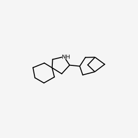 C1CCC2(CC1)CNC(C1CC3CC(C3)C1)C2